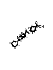 O=C(O)c1ccc(NC(=O)c2cc3sc(N4CCCCC4)nc3s2)cc1